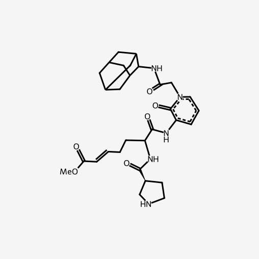 COC(=O)/C=C/CCC(NC(=O)[C@H]1CCNC1)C(=O)Nc1cccn(CC(=O)NC2C3CC4CC(C3)CC2C4)c1=O